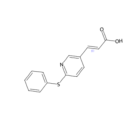 O=C(O)/C=C/c1ccc(Sc2ccccc2)nc1